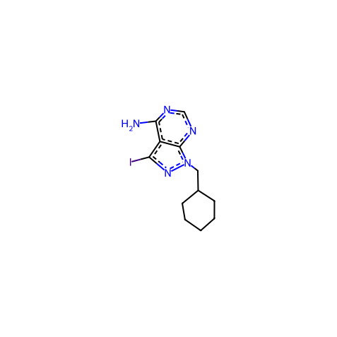 Nc1ncnc2c1c(I)nn2CC1CCCCC1